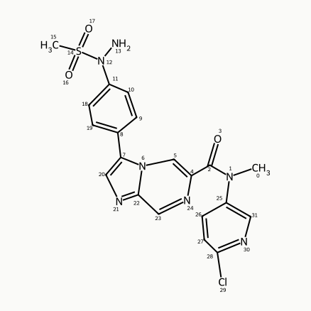 CN(C(=O)c1cn2c(-c3ccc(N(N)S(C)(=O)=O)cc3)cnc2cn1)c1ccc(Cl)nc1